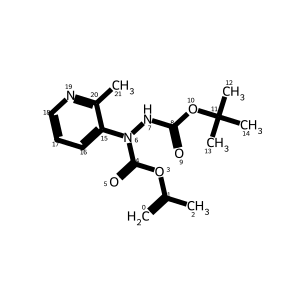 C=C(C)OC(=O)N(NC(=O)OC(C)(C)C)c1cccnc1C